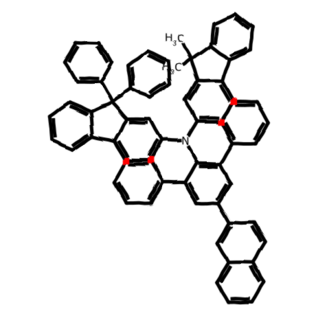 CC1(C)c2ccccc2-c2ccc(N(c3ccc4c(c3)C(c3ccccc3)(c3ccccc3)c3ccccc3-4)c3c(-c4ccccc4)cc(-c4ccc5ccccc5c4)cc3-c3ccccc3)cc21